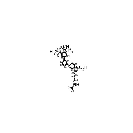 CC1(C)CCC(C)(C)c2cc(-c3cccc(C4C=CC(OCCCCCNC5CC5)(C(=O)O)C=C4)c3)ccc21